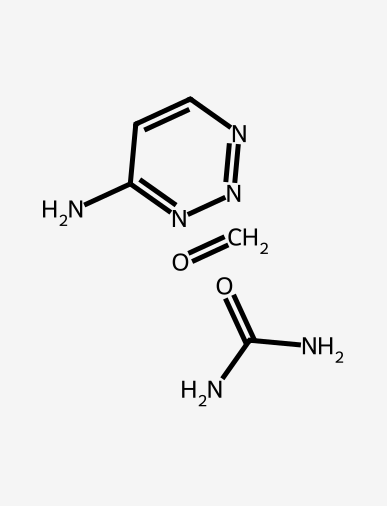 C=O.NC(N)=O.Nc1ccnnn1